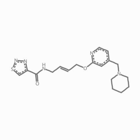 O=C(NCC=CCOc1cc(CN2CCCCC2)ccn1)c1csnn1